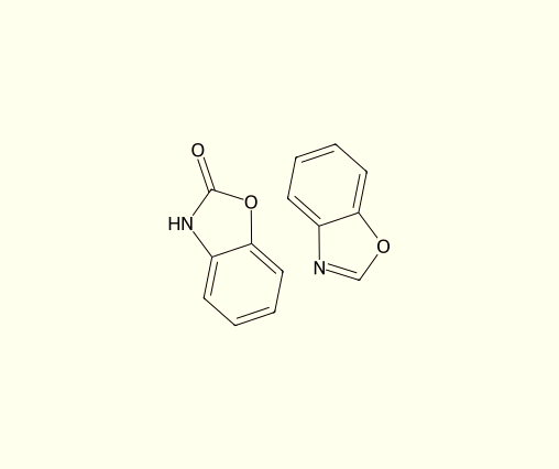 O=c1[nH]c2ccccc2o1.c1ccc2ocnc2c1